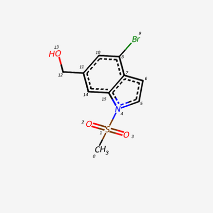 CS(=O)(=O)n1ccc2c(Br)cc(CO)cc21